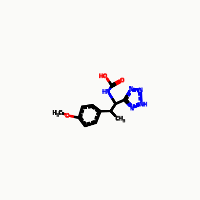 COc1ccc(C(C)C(NC(=O)O)c2nn[nH]n2)cc1